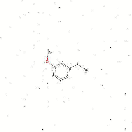 CC(=O)Cc1cccc(OC(C)C)c1